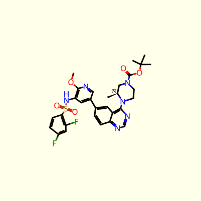 COc1ncc(-c2ccc3ncnc(N4CCN(C(=O)OC(C)(C)C)C[C@@H]4C)c3c2)cc1NS(=O)(=O)c1ccc(F)cc1F